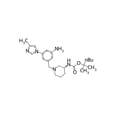 CCCCC(C)(C)OC(=O)N[C@H]1CCCN(Cc2cc(N)cc(-n3cnc(C)c3)c2)C1